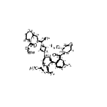 Cc1nc(F)c2c(-c3ccc(F)cc3C(=O)N3CCOC[C@H]3C)cc(C3CN(C(CC[C@@H]4COCCN4C(=O)OC(C)(C)C)C(C)C)C3)cn12